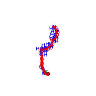 Cc1[nH]c(C(=O)NCCC(=O)NCCOCCOCCOCCOCCOCC(=O)N2CCN(c3ccc([C@H]4CN(C5CCc6cccc(F)c65)C[C@@H]4N(C)C)cc3)CC2)nc1NC(=O)c1cc(NC(=O)CCNC(=O)c2nc(NC(=O)CCCNC(=O)c3cc(NC(=O)c4nc(NC(=O)CCNC(=O)c5cc(NC(=O)c6nccn6C)cn5C)cn4C)cn3C)cn2C)cn1C